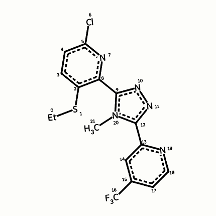 CCSc1ccc(Cl)nc1-c1nnc(-c2cc(C(F)(F)F)ccn2)n1C